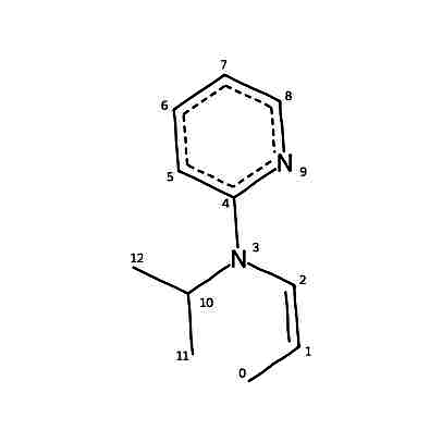 C/C=C\N(c1ccccn1)C(C)C